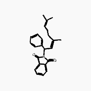 CC(C)=CCCC(C)=CC(c1ccccc1)N1C(=O)c2ccccc2C1=O